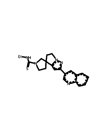 CCNC(=S)N1CCC2(CCn3nc(-c4cnc5ccccc5c4)cc32)C1